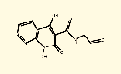 Cn1c(=O)c(C(=O)NCC=O)c(O)c2ccnnc21